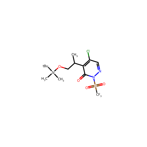 CC(CO[Si](C)(C)C(C)(C)C)c1c(Cl)cnn(S(=O)(=O)C(F)(F)F)c1=O